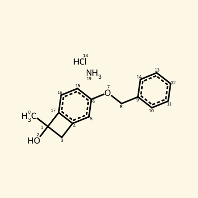 CC1(O)Cc2cc(OCc3ccccc3)ccc21.Cl.N